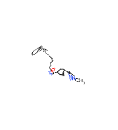 Cn1ccc(-c2ccc(-c3cnc(CCCCCCC=O)o3)cc2)n1